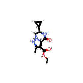 CCOC(=O)c1c(C)nn2c1C(=O)NC(C1CC1)C2